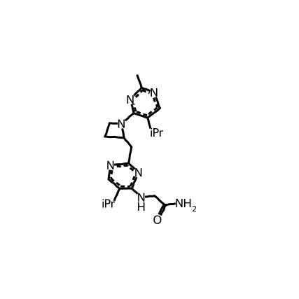 Cc1ncc(C(C)C)c(N2CCC2Cc2ncc(C(C)C)c(NCC(N)=O)n2)n1